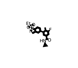 CCS(=O)(=O)n1ncc2cc(-c3cc(C(=O)NC4CC4)cc(F)c3C)ccc21